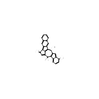 O=c1cccc2c3c(=O)c4cc(=O)c5c6c(c(c(=O)c=3cc12)c45)=CC1C=CC=CC1=C6